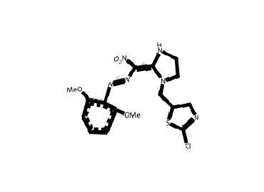 COc1cccc(OC)c1/N=N/C(=C1/NCCN1CC1CN=C(Cl)S1)[N+](=O)[O-]